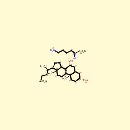 C[C@H](CCC(=O)O)[C@H]1CCC2C3C(CC[C@@]21C)[C@@]1(C)CC[C@@H](O)CC1C[C@H]3O.NCCCC[C@H](N)C(=O)O